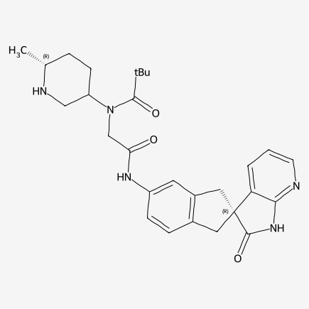 C[C@@H]1CCC(N(CC(=O)Nc2ccc3c(c2)C[C@@]2(C3)C(=O)Nc3ncccc32)C(=O)C(C)(C)C)CN1